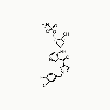 NS(=O)(=O)OC[C@H]1CC(Nc2ccncc2C(=O)c2ccn(Cc3ccc(F)c(Cl)c3)n2)C[C@@H]1O